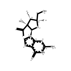 C=C(C)[C@]1(O)[C@H](n2cnc3c(=O)[nH]c(N)nc32)O[C@](F)(CO)[C@H]1F